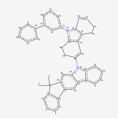 CC1(C)c2ccccc2-c2cc3c4ccccc4n(C4=Cc5c6c(n(-c7cccc(-c8ccccc8)c7)c5CC4)C=CCC6)c3cc21